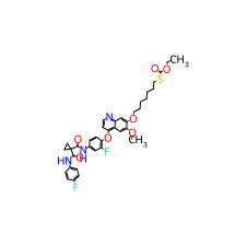 CCOC(=O)SCCCCCCCOc1cc2nccc(Oc3ccc(NC(=O)C4(C(=O)Nc5ccc(F)cc5)CC4)cc3F)c2cc1OC